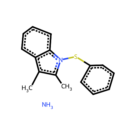 Cc1c(C)n(Sc2ccccc2)c2ccccc12.N